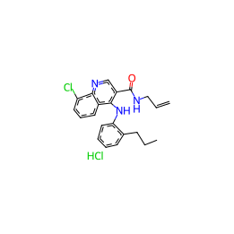 C=CCNC(=O)c1cnc2c(Cl)cccc2c1Nc1ccccc1CCC.Cl